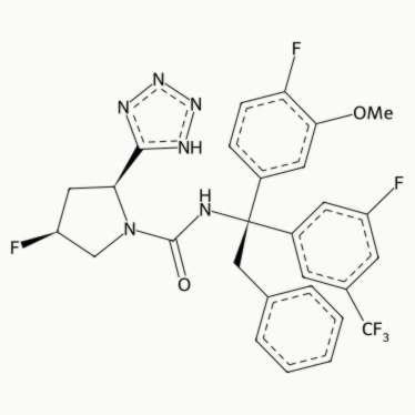 COc1cc([C@@](Cc2ccccc2)(NC(=O)N2C[C@@H](F)C[C@H]2c2nnn[nH]2)c2cc(F)cc(C(F)(F)F)c2)ccc1F